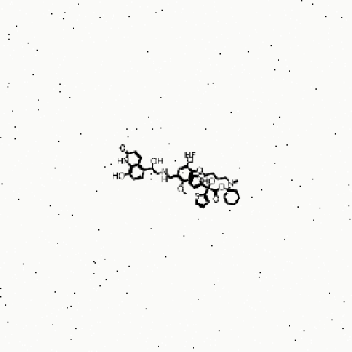 COc1cc(OCCCCN(C)C2(OC(=O)C(O)(c3cccs3)c3cccs3)CCCCC2)c(Cl)cc1CNC[C@H](O)c1ccc(O)c2[nH]c(=O)ccc12.F